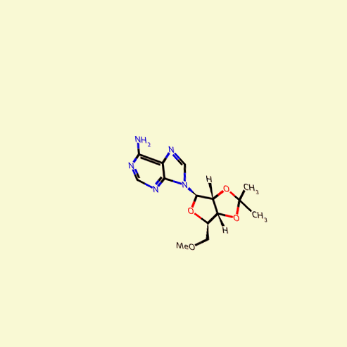 COC[C@H]1O[C@@H](n2cnc3c(N)ncnc32)[C@@H]2OC(C)(C)O[C@@H]21